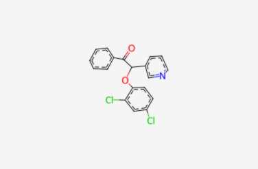 O=C(c1ccccc1)C(Oc1ccc(Cl)cc1Cl)c1cccnc1